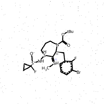 C/[SH]=C1/[C@H](Cc2cccc(Br)c2F)N(C(=O)OC(C)(C)C)CCC[SH]1N[S+]([O-])C1(F)CC1